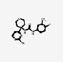 N#Cc1nccc(C2(NC(=O)Nc3ccc(F)c(C(F)(F)F)c3)CCOCC2)n1